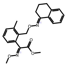 CO/N=C(/C(=O)OC)c1cccc(C)c1CO/N=C1\CCCc2ccccc21